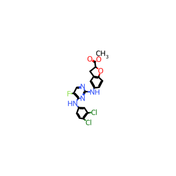 COC(=O)C1Cc2cc(Nc3ncc(F)c(Nc4ccc(Cl)c(Cl)c4)n3)ccc2O1